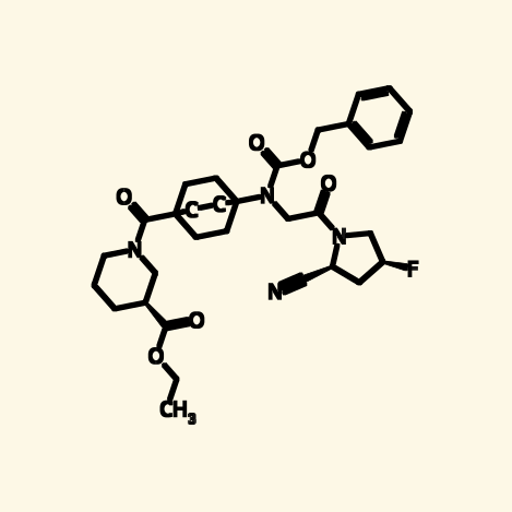 CCOC(=O)[C@H]1CCCN(C(=O)C23CCC(N(CC(=O)N4C[C@@H](F)C[C@H]4C#N)C(=O)OCc4ccccc4)(CC2)CC3)C1